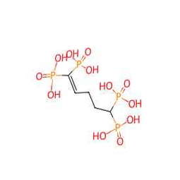 O=P(O)(O)C(=CCCC(P(=O)(O)O)P(=O)(O)O)P(=O)(O)O